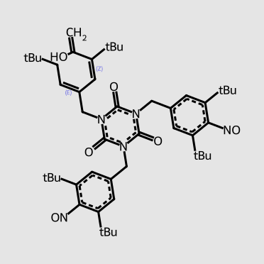 C=C(O)/C(=C\C(=C/CC(C)(C)C)Cn1c(=O)n(Cc2cc(C(C)(C)C)c(N=O)c(C(C)(C)C)c2)c(=O)n(Cc2cc(C(C)(C)C)c(N=O)c(C(C)(C)C)c2)c1=O)C(C)(C)C